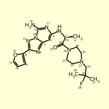 C[C@H](Nc1cc2nc(-c3ccco3)nn2c(N)n1)C(=O)N1CCN(CC(C)(C)F)CC1